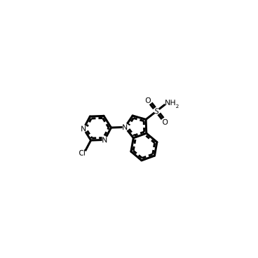 NS(=O)(=O)c1cn(-c2ccnc(Cl)n2)c2ccccc12